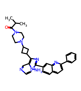 CC(C)C(=O)N1CCN(C2CC(C3=C4C=NC=C[N+]4(N)C(c4ccc5ccc(-c6ccccc6)nc5c4)=N3)C2)CC1